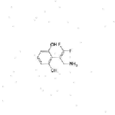 NCC(=C(F)F)c1c(O)cccc1O